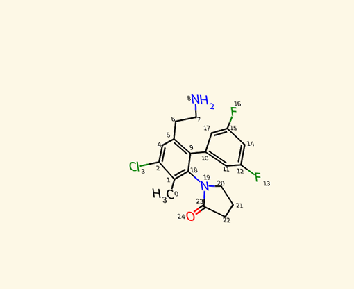 Cc1c(Cl)cc(CCN)c(-c2cc(F)cc(F)c2)c1N1CCCC1=O